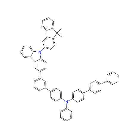 CC1(C)c2ccccc2-c2cc(-n3c4ccccc4c4cc(-c5cccc(-c6ccc(N(c7ccccc7)c7ccc(-c8ccc(-c9ccccc9)cc8)cc7)cc6)c5)ccc43)ccc21